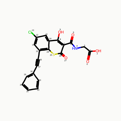 O=C(O)CNC(=O)c1c(O)c2cc(Cl)cc(C#Cc3ccccc3)c2sc1=O